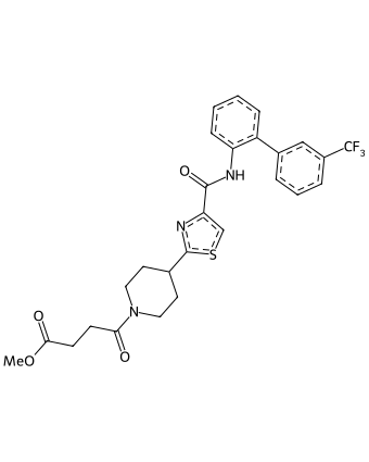 COC(=O)CCC(=O)N1CCC(c2nc(C(=O)Nc3ccccc3-c3cccc(C(F)(F)F)c3)cs2)CC1